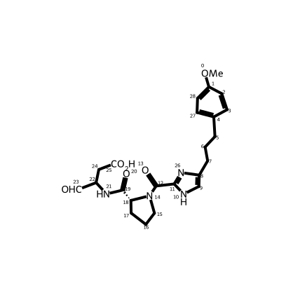 COc1ccc(CCCc2c[nH]c(C(=O)N3CCC[C@@H]3C(=O)NC(C=O)CC(=O)O)n2)cc1